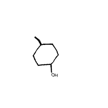 C[C]1CCC(O)CC1